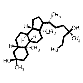 C[C@H](CC[C@](C)(O)CCO)C1CC[C@H]2[C@@H]3CC[C@H]4C[C@@](C)(O)CC[C@]4(C)[C@H]3CC[C@]12C